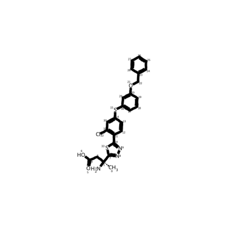 C[C@](N)(CC(=O)O)c1nnc(-c2ccc(Sc3cccc(OCc4ccccc4)c3)cc2Cl)s1